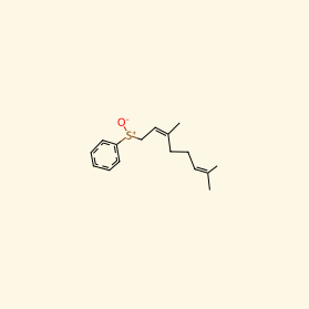 CC(C)=CCCC(C)=CC[S+]([O-])c1ccccc1